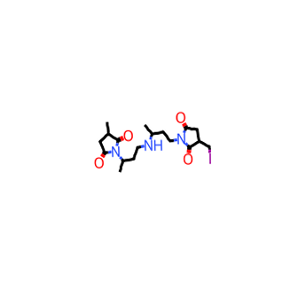 CC(CCN1C(=O)CC(CI)C1=O)NCCC(C)N1C(=O)CC(C)C1=O